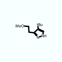 COCCc1n[nH]cc1C(C)(C)C